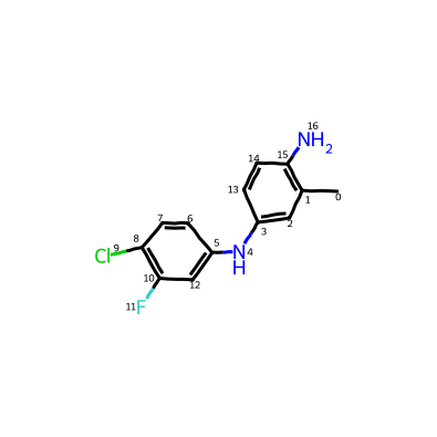 Cc1cc(Nc2ccc(Cl)c(F)c2)ccc1N